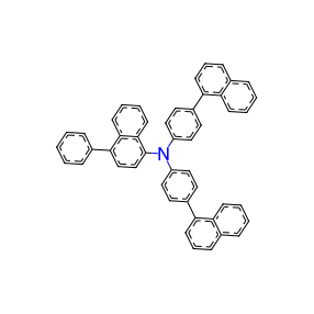 c1ccc(-c2ccc(N(c3ccc(-c4cccc5ccccc45)cc3)c3ccc(-c4cccc5ccccc45)cc3)c3ccccc23)cc1